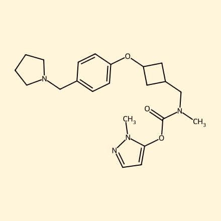 CN(CC1CC(Oc2ccc(CN3CCCC3)cc2)C1)C(=O)Oc1ccnn1C